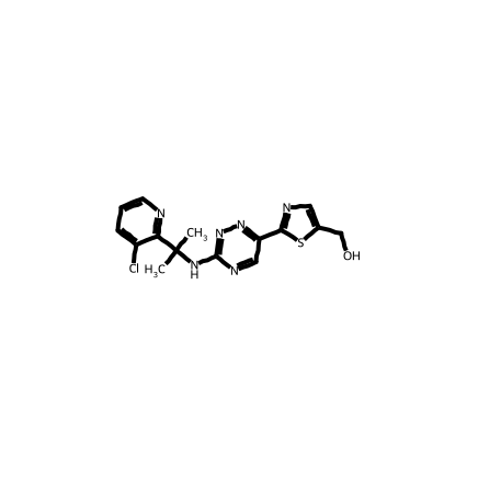 CC(C)(Nc1ncc(-c2ncc(CO)s2)nn1)c1ncccc1Cl